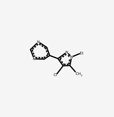 CCn1nc(-c2cncnc2)c(Cl)c1C